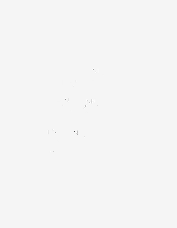 NC(=O)C(N)Cc1ccccc1.NC(=O)[C@@H](N)Cc1ccccc1.N[C@H](Cc1ccccc1)C(=O)O